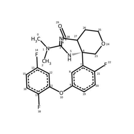 CN(C)C(=N)N[C@@]1(c2cc(Oc3cc(F)ccc3F)ccc2F)COCCC1C=O